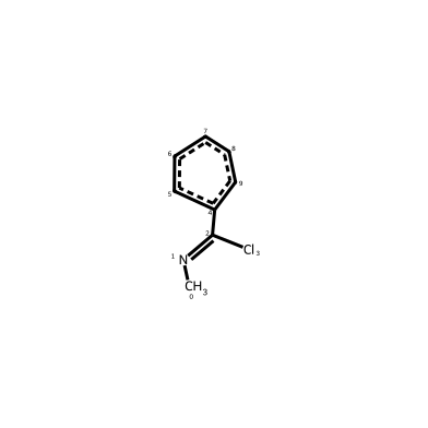 C/N=C(\Cl)c1ccccc1